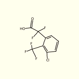 O=C(O)C(F)(F)c1cccc(Cl)c1C(F)(F)F